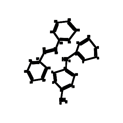 Nc1ccc(Nc2ccccc2)cc1.c1ccc(/N=N/c2ccccc2)cc1